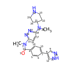 CN(C(=O)c1ccc(-c2cn[nH]c2)cc1)c1ccc(N(C)C2CCNCC2)nn1